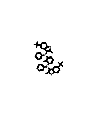 Cc1sc2ccc(C(C)(C)C)cc2c1N(c1ccccc1)c1cccc(N(c2ccccc2)c2c(C)sc3ccc(C(C)(C)C)cc23)c1C